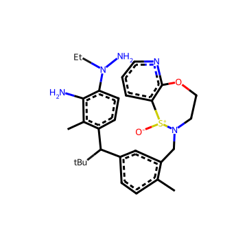 CCN(N)c1ccc(C(c2ccc(C)c(CN3CCOc4ncccc4[S+]3[O-])c2)C(C)(C)C)c(C)c1N